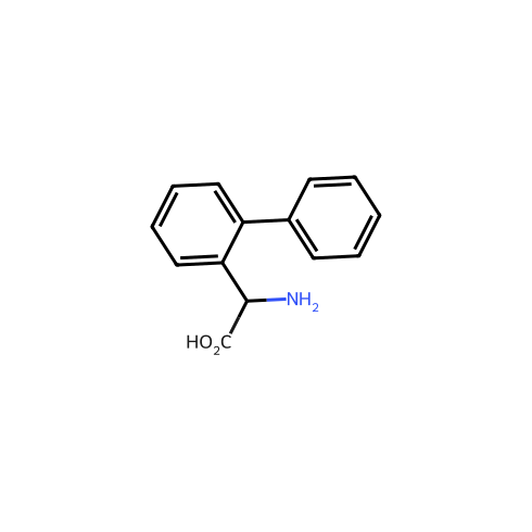 NC(C(=O)O)c1ccccc1-c1ccccc1